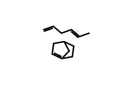 C1=C2CCC(C1)C2.C=CC/C=C/C